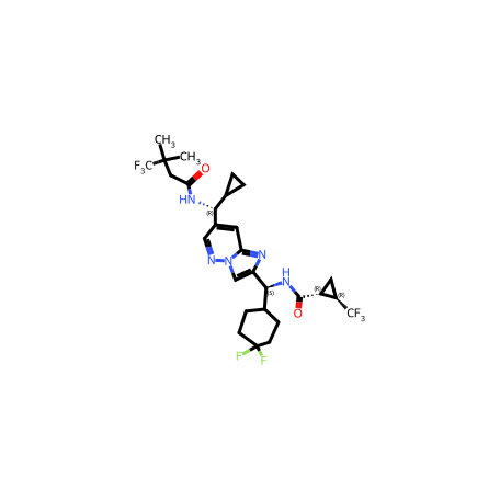 CC(C)(CC(=O)N[C@@H](c1cnn2cc([C@@H](NC(=O)[C@@H]3C[C@H]3C(F)(F)F)C3CCC(F)(F)CC3)nc2c1)C1CC1)C(F)(F)F